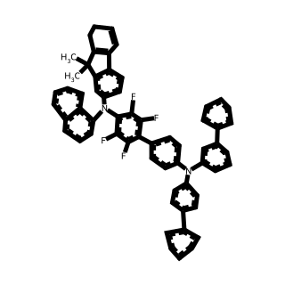 CC1(C)C2=C(C=CCC2)c2ccc(N(c3c(F)c(F)c(-c4ccc(N(c5ccc(-c6ccccc6)cc5)c5cccc(-c6ccccc6)c5)cc4)c(F)c3F)c3cccc4ccccc34)cc21